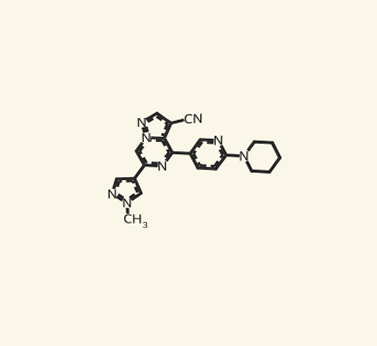 Cn1cc(-c2cn3ncc(C#N)c3c(-c3ccc(N4CCCCC4)nc3)n2)cn1